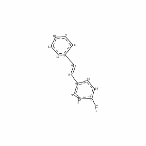 Fc1bcc(C=Cc2ccccc2)cc1